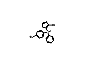 CCCCc1ccc([Si](C)(C2=C(C(C)(C)C)C=CC2)c2ccccc2)cc1